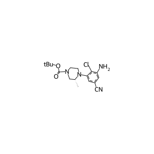 C[C@@H]1CN(C(=O)OC(C)(C)C)CCN1c1cc(C#N)cc(N)c1Cl